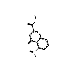 COC(=O)c1cc(=O)c2c([N+](=O)[O-])cccc2o1